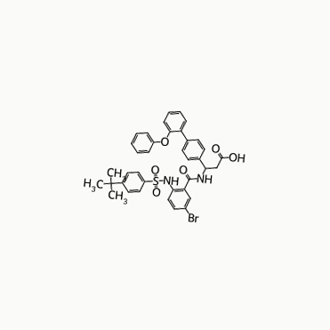 CC(C)(C)c1ccc(S(=O)(=O)Nc2ccc(Br)cc2C(=O)NC(CC(=O)O)c2ccc(-c3ccccc3Oc3ccccc3)cc2)cc1